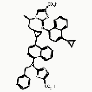 CC(CC1CC1c1ccc(N(Cc2ccccc2)c2ncc(C(=O)O)s2)c2ccccc12)n1cc(C(=O)O)s/c1=N\c1ccc(C2CC2)c2ccccc12